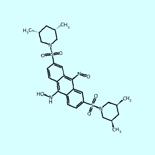 C[C@@H]1C[C@H](C)CN(S(=O)(=O)c2ccc3c(NO)c4ccc(S(=O)(=O)N5C[C@H](C)C[C@H](C)C5)cc4c(N=O)c3c2)C1